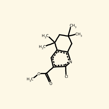 COC(=O)c1cc2c(nc1Cl)CC(C)(C)CC2(C)C